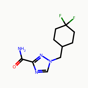 NC(=O)c1ncn(CC2CCC(F)(F)CC2)n1